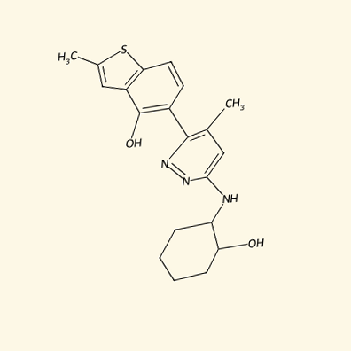 Cc1cc2c(O)c(-c3nnc(NC4CCCCC4O)cc3C)ccc2s1